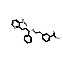 O=C(O)c1cccc(CCN[C@H](c2ccccc2)[C@H]2CNc3cccnc3C2)c1